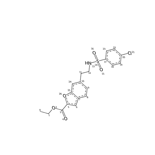 CCOC(=O)c1cc2ccc(CCNS(=O)(=O)c3ccc(Cl)cc3)cc2o1